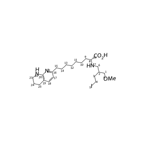 COCC(CCI)CNC(CCCCCCCc1ccc2c(n1)NCCC2)C(=O)O